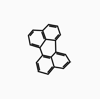 [c]1cc2c[c]cc3c4cccc5cccc(c(c1)c23)c54